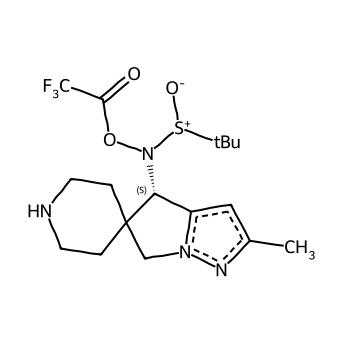 Cc1cc2n(n1)CC1(CCNCC1)[C@@H]2N(OC(=O)C(F)(F)F)[S+]([O-])C(C)(C)C